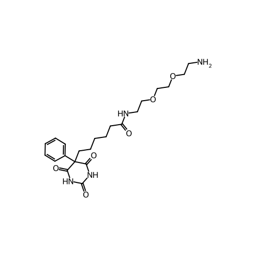 NCCOCCOCCNC(=O)CCCCCC1(c2ccccc2)C(=O)NC(=O)NC1=O